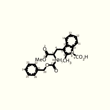 COC(=O)C(Cc1c(C)n(C(=O)O)c2ccccc12)NC(=O)OCc1ccccc1